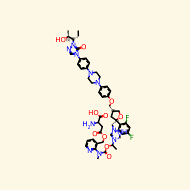 CC[C@@H]([C@H](C)O)n1ncn(-c2ccc(N3CCN(c4ccc(OC[C@@H]5CO[C@@](CN6C=[N+](C(C)OC(=O)N(C)c7ncccc7COC(=O)CC(N)C(=O)O)CN6)(c6ccc(F)cc6F)C5)cc4)CC3)cc2)c1=O